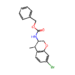 CC1c2ccc(Br)cc2OCC1NC(=O)OCc1ccccc1